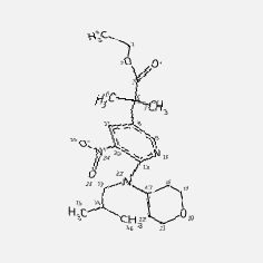 CCOC(=O)C(C)(C)c1cnc(N(CC(C)C)C2CCOCC2)c([N+](=O)[O-])c1